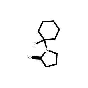 O=C1CCCN1C1(F)CCCCC1